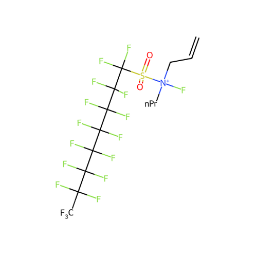 C=CC[N+](F)(CCC)S(=O)(=O)C(F)(F)C(F)(F)C(F)(F)C(F)(F)C(F)(F)C(F)(F)C(F)(F)C(F)(F)F